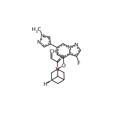 C=CC(=O)N1CC2C[C@H](C1)C2COc1cc(-c2cnn(C)c2)cn2ncc(F)c12